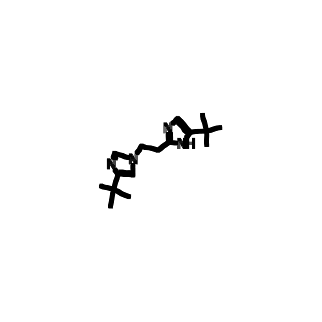 CC(C)(C)c1cn(CCc2ncc(C(C)(C)C)[nH]2)cn1